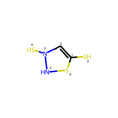 SC1=CN(S)NS1